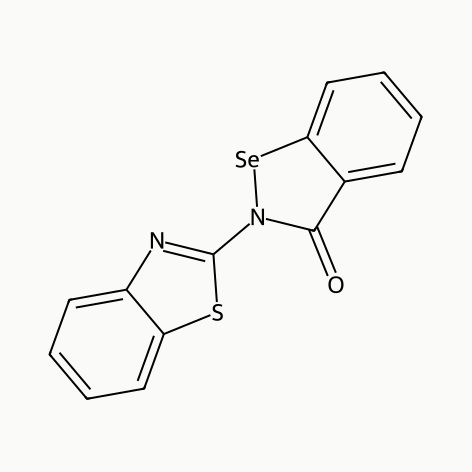 O=c1c2ccccc2[se]n1-c1nc2ccccc2s1